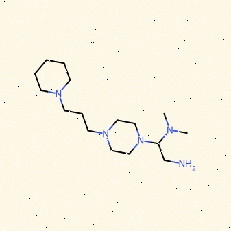 CN(C)C(CN)N1CCN(CCCN2CCCCC2)CC1